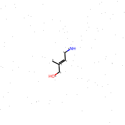 C/C(=C\C[NH])CO